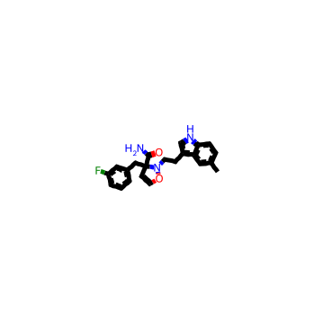 Cc1ccc2[nH]cc(CCN3OC=CC3(Cc3cccc(F)c3)C(N)=O)c2c1